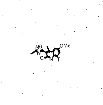 COc1cc(F)c2nc(Cl)c(-c3nc(C)no3)c(C)c2c1